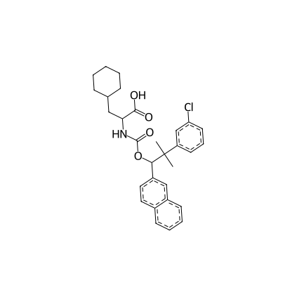 CC(C)(c1cccc(Cl)c1)C(OC(=O)NC(CC1CCCCC1)C(=O)O)c1ccc2ccccc2c1